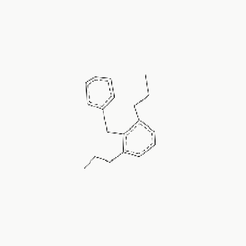 CCCc1cccc(CCC)c1Cc1ccccc1